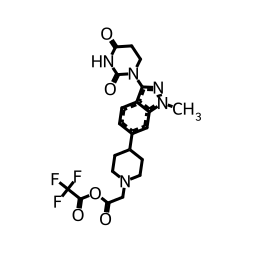 Cn1nc(N2CCC(=O)NC2=O)c2ccc(C3CCN(CC(=O)OC(=O)C(F)(F)F)CC3)cc21